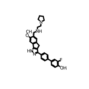 COc1cc2c(cc1CNCCN1CCCC1)Cc1c(-c3ccc(-c4ccc(O)c(F)c4)cc3)n[nH]c1-2